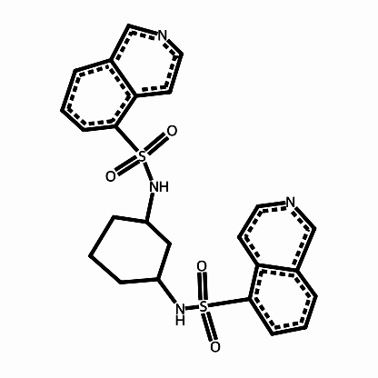 O=S(=O)(NC1CCCC(NS(=O)(=O)c2cccc3cnccc23)C1)c1cccc2cnccc12